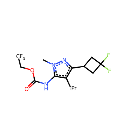 CC(C)c1c(C2CC(F)(F)C2)nn(C)c1NC(=O)OCC(F)(F)F